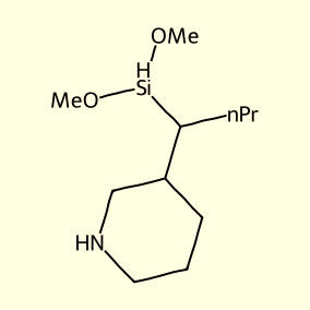 CCCC(C1CCCNC1)[SiH](OC)OC